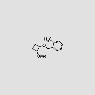 CO[C@H]1CC[C@H]1OCc1ccccc1C